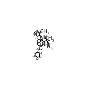 CC(C)C(NC(=O)OCc1ccccc1)C(=O)NC1C[N]CC1C